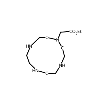 CCOC(=O)CN1CCNCCNCCNCC1